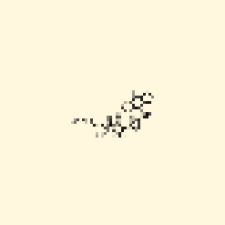 COCCN(C(C)C)S(=O)(=O)NC(=O)c1coc(Nc2c3c(c(Cl)c4c2CCC4)CCC3)n1